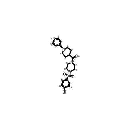 O=C(C1CCN(c2ccncc2)CC1)N1CCN(S(=O)(=O)c2ccc(Br)cc2)CC1